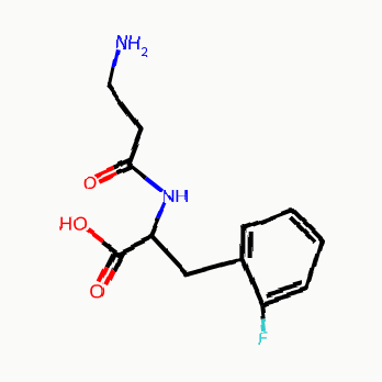 NCCC(=O)NC(Cc1ccccc1F)C(=O)O